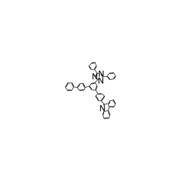 c1ccc(-c2ccc(-c3cc(-c4ccc(-c5nc6ccccc6c6ccccc56)cc4)cc(-c4nc(-c5ccccc5)nc(-c5ccccc5)n4)c3)cc2)cc1